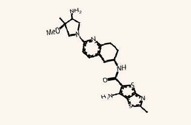 COC1(C)CN(c2ccc3c(n2)CCC(NC(=O)c2sc4nc(C)sc4c2N)C3)CC1N